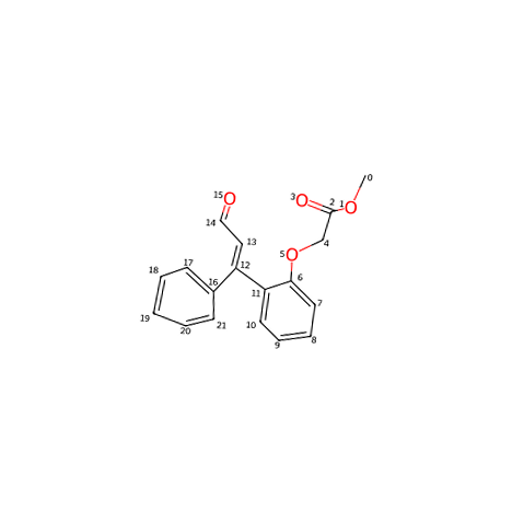 COC(=O)COc1ccccc1C(=CC=O)c1ccccc1